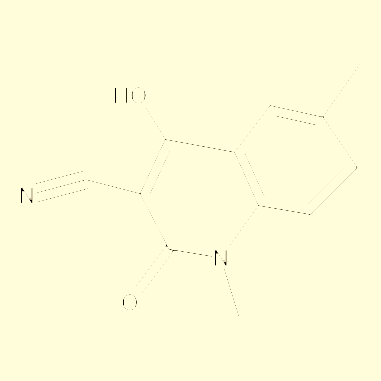 Cc1ccc2c(c1)c(O)c(C#N)c(=O)n2C